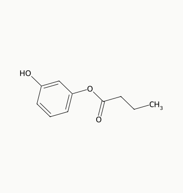 CCCC(=O)Oc1cccc(O)c1